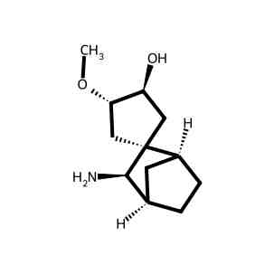 CO[C@H]1C[C@]2(C[C@@H]1O)[C@H]1CC[C@H](C1)[C@H]2N